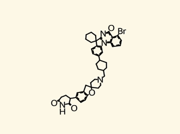 O=C1CCC(c2ccc3c(c2)CC2(CCN(CC4CCC(c5ccc6c(c5)-n5c(nc(=O)c7c(Br)cccc75)C65CCCCC5)CC4)CC2)O3)C(=O)N1